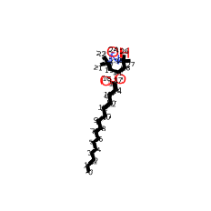 CCCCCCCCCCCCCCCC(=O)OC1CC(C)(C)N(O)C(C)(C)C1